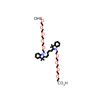 CC1(C)C(\C=C/C=C\C=C2\N(CCOCCOCCOCCOCCC(=O)O)c3ccccc3C2(C)C)=[N+](CCOCCOCCOCCOCCOC=O)c2ccccc21